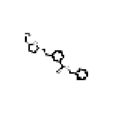 O=C(OCc1ccccc1)c1cccc(CC[C@H]2CC[C@@H](CO)O2)c1